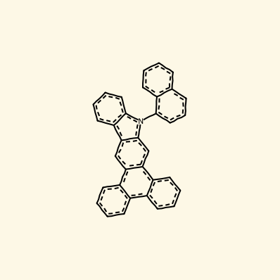 c1ccc2c(-n3c4ccccc4c4cc5c6ccccc6c6ccccc6c5cc43)cccc2c1